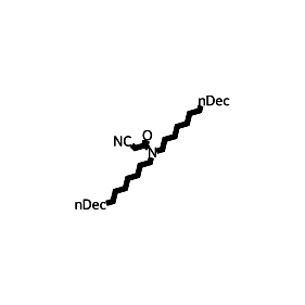 CCCCCCCCCCCCCCCCCN(CCCCCCCCCCCCCCCCC)C(=O)CC#N